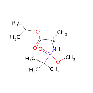 COP(=O)(N[C@@H](C)C(=O)OC(C)C)C(C)(C)C